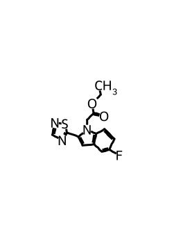 CCOC(=O)Cn1c(-c2ncns2)cc2cc(F)ccc21